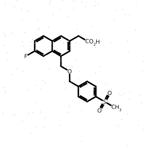 CS(=O)(=O)c1ccc(COCc2cc(CC(=O)O)cc3ccc(F)cc23)cc1